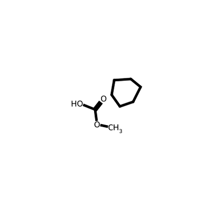 C1CCCCC1.COC(=O)O